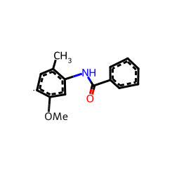 COc1[c]cc(C)c(NC(=O)c2ccccc2)c1